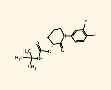 CC(C)(C)NC(=O)O[C@@H]1CCCN(c2ccc(I)c(F)c2)C1=O